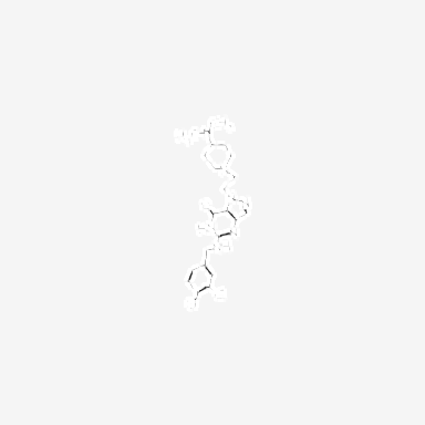 CN(C)C1CCN(CCn2ncc3nc(NCc4ccc(Cl)c(Cl)c4)[nH]c(=O)c32)CC1